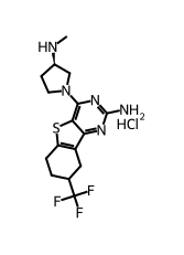 CN[C@@H]1CCN(c2nc(N)nc3c4c(sc23)CCC(C(F)(F)F)C4)C1.Cl